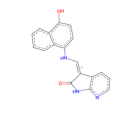 O=C1Nc2ncccc2/C1=C/Nc1ccc(O)c2ccccc12